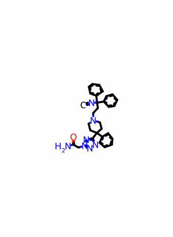 [C-]#[N+]C(CCN1CCC(c2ccccc2)(c2nnn(CC(N)=O)n2)CC1)(c1ccccc1)c1ccccc1